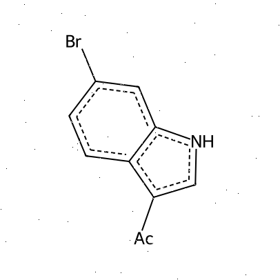 CC(=O)c1c[nH]c2cc(Br)ccc12